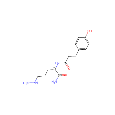 NNCCC[C@H](NC(=O)CCc1ccc(O)cc1)C(N)=O